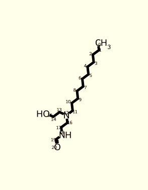 CCCCCCCCCCCCN(CCO)CCNC=O